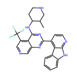 CC1CNCCC1Nc1nc(-c2ccnc3[nH]c4ccccc4c23)nc2cncc(C(F)(F)F)c12